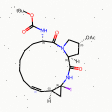 CC(=O)O[C@@H]1C[C@H]2C(=O)N[C@]3(I)C[C@H]3/C=C\CCCCC[C@H](NC(=O)OC(C)(C)C)C(=O)N2C1